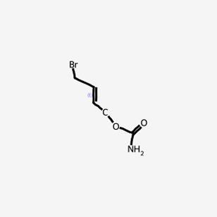 NC(=O)OC/C=C/CBr